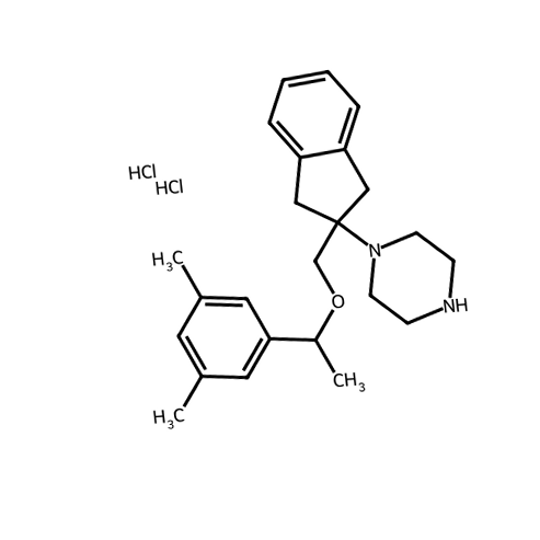 Cc1cc(C)cc(C(C)OCC2(N3CCNCC3)Cc3ccccc3C2)c1.Cl.Cl